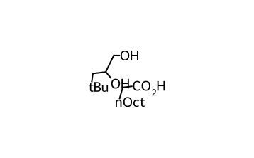 CC(C)(C)CC(O)CO.CCCCCCCCCC(=O)O